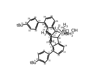 CC1=Cc2c(-c3ccc(C(C)(C)C)cc3)cccc2[CH]1[Zr]([CH3])([CH3])(=[SiH2])[CH]1C(C)=Cc2c(-c3ccc(C(C)(C)C)cc3)cccc21.Cl.Cl